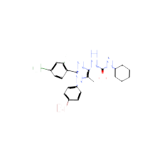 Cc1c(NC(=O)N(C)C2CCCCC2)nc(-c2ccc(Cl)cc2Cl)n1-c1ccc(Br)cc1